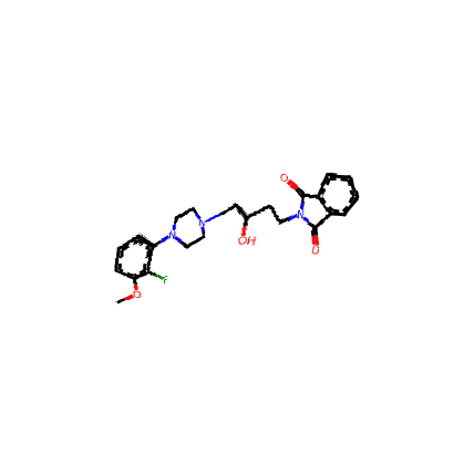 COc1cccc(N2CCN(CC(O)CCN3C(=O)c4ccccc4C3=O)CC2)c1F